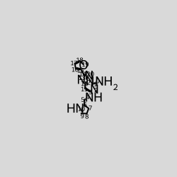 Nc1nc(NCC2CCCN2)cc2nc(-c3ccco3)nn12